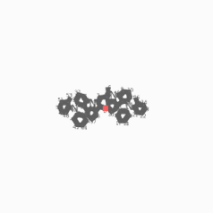 C=c1/c(=C\c2c(C)n3c4cccc(N(c5ccccc5)c5ccccc5C)c4c4cccc2c43)n2c3cccc(N(c4ccccc4)c4ccccc4C)c3c3cccc1c32